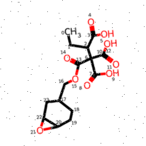 CCC(C(=O)O)C(C(=O)O)(C(=O)O)C(=O)OCC1CCC2OC2C1